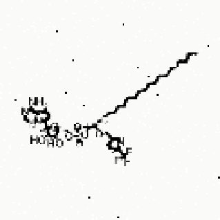 CCCCCCCCCCCCCCCCCCOC[C@H](COP(=O)(O)OC[C@H]1O[C@@](C)(c2ccc3c(N)ncnn23)[C@H](O)[C@@H]1O)OCc1ccc(C(F)(F)F)nc1